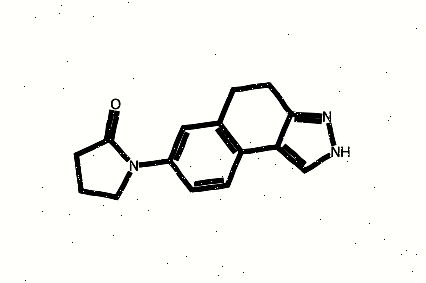 O=C1CCCN1c1ccc2c(c1)CCc1n[nH]cc1-2